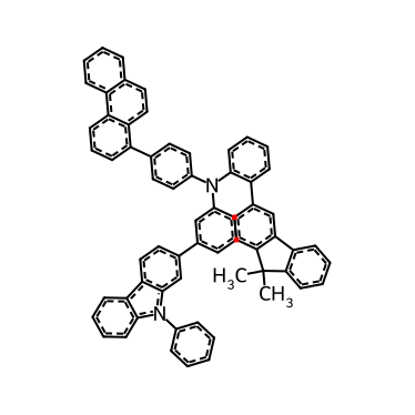 CC1(C)c2ccccc2-c2cc(-c3ccccc3N(c3ccc(-c4cccc5c4ccc4ccccc45)cc3)c3cccc(-c4ccc5c6ccccc6n(-c6ccccc6)c5c4)c3)ccc21